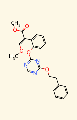 CO/C=C(/C(=O)OC)c1ccccc1Oc1ncnc(OCCc2ccccc2)n1